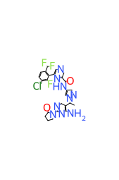 CC(c1cnc(N2CCCC2=O)nc1N)n1cc(NC(=O)c2cncc(-c3c(C(F)F)ccc(Cl)c3F)n2)cn1